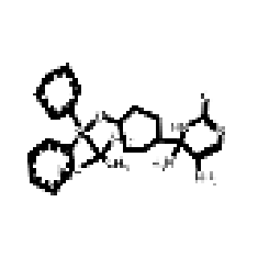 CC(C)(C)[Si](OC1CCC(C2(N)NC(Cl)=NC=C2N)CC1)(c1ccccc1)c1ccccc1